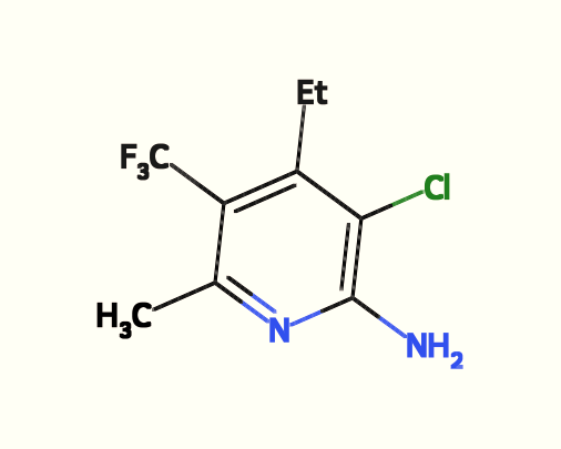 CCc1c(Cl)c(N)nc(C)c1C(F)(F)F